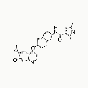 COc1cc2nccc(Oc3ccc4cc(NC(=O)c5sc(C)nc5C)ccc4c3)c2cc1OC